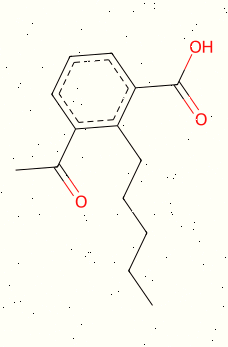 CCCCCc1c(C(C)=O)cccc1C(=O)O